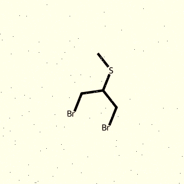 CSC(CBr)CBr